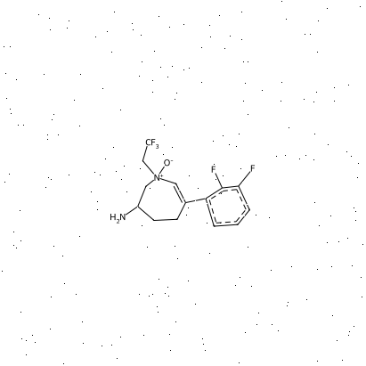 NC1CCC(c2cccc(F)c2F)=C[N+]([O-])(CC(F)(F)F)C1